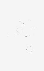 CC(=O)N1c2ccc(OC3CCOCC3)cc2C(NC(=O)OCc2ccccc2)[C@@H](C)[C@@H]1C1CC1